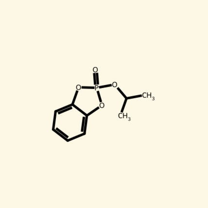 CC(C)OP1(=O)Oc2ccccc2O1